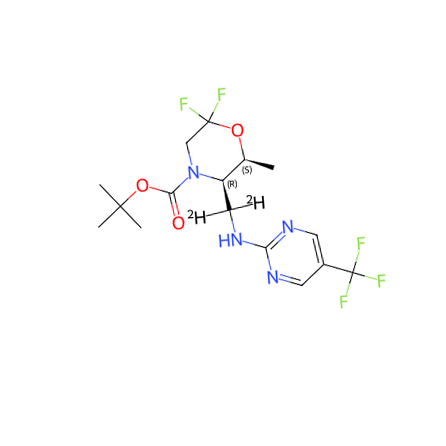 [2H]C([2H])(Nc1ncc(C(F)(F)F)cn1)[C@@H]1[C@H](C)OC(F)(F)CN1C(=O)OC(C)(C)C